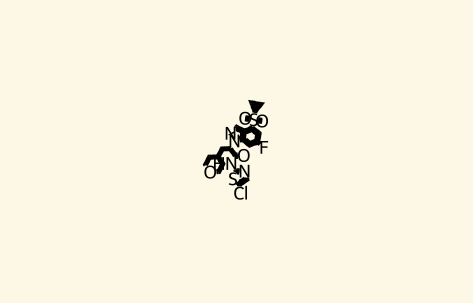 O=C(Nc1ncc(Cl)s1)C(CC1CCOCC1)n1ncc2c(S(=O)(=O)C3CC3)cc(F)cc21